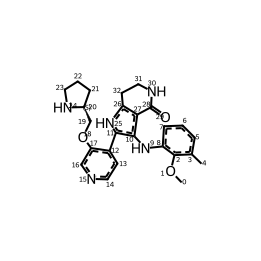 COc1c(C)cccc1Nc1c(-c2ccncc2OC[C@@H]2CCCN2)[nH]c2c1C(=O)NCC2